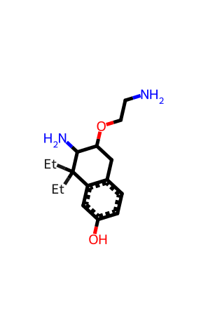 CCC1(CC)c2cc(O)ccc2CC(OCCN)C1N